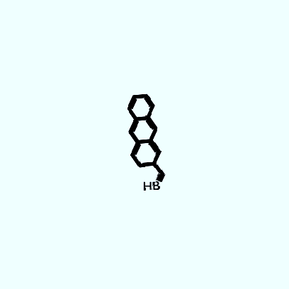 B=CC1C=c2cc3ccccc3cc2=CC1